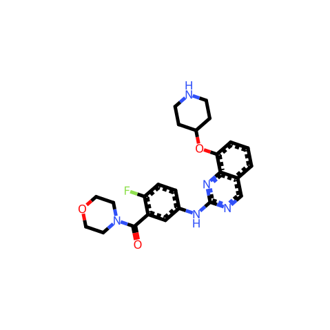 O=C(c1cc(Nc2ncc3cccc(OC4CCNCC4)c3n2)ccc1F)N1CCOCC1